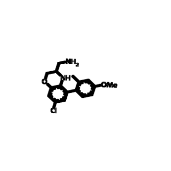 COc1ccc(-c2cc(Cl)cc3c2NC(CN)CO3)c(C)c1